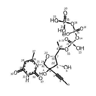 CC#CC1(O)[C@@H](O)[C@@H]([C@@H](C)OP(=O)(O)OP(=O)(O)OP(=O)(O)O)O[C@H]1n1c(C)cc(=O)[nH]c1=O